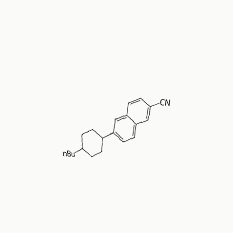 CCCCC1CCC(c2ccc3cc(C#N)ccc3c2)CC1